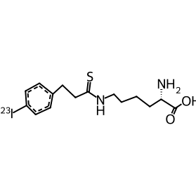 N[C@@H](CCCCNC(=S)CCc1ccc([123I])cc1)C(=O)O